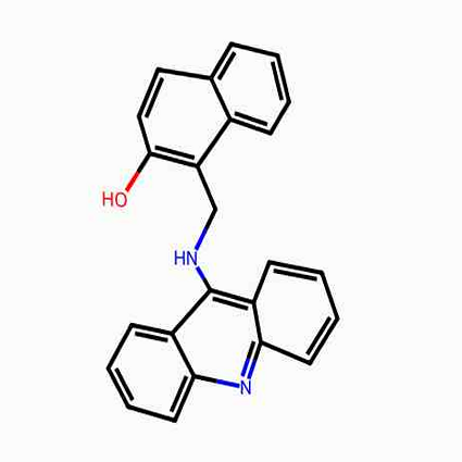 Oc1ccc2ccccc2c1CNc1c2ccccc2nc2ccccc12